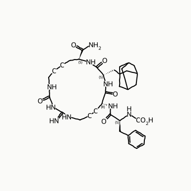 N=C1NCCC[C@@H](NC(=O)[C@H](Cc2ccccc2)NC(=O)O)C(=O)N[C@@H](CC23CC4CC(CC(C4)C2)C3)C(=O)N[C@H](C(N)=O)CCCCNC(=O)N1